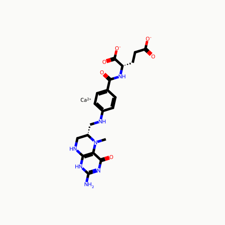 CN1c2c([nH]c(N)nc2=O)NC[C@@H]1CNc1ccc(C(=O)N[C@@H](CCC(=O)[O-])C(=O)[O-])cc1.[Ca+2]